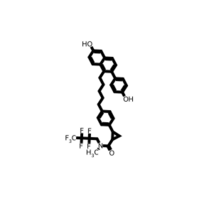 CN(CC(F)(F)C(F)(F)C(F)(F)F)C(=O)C1CC1c1ccc(CCCCCc2c(-c3ccc(O)cc3)ccc3cc(O)ccc23)cc1